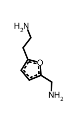 NCCc1ccc(CN)o1